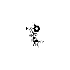 CCCc1sc(NS(=O)(=O)c2cccc(Cl)c2C)nc1C